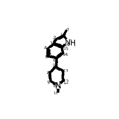 Cc1cc2ccc(C3CCN(C)CC3)cc2[nH]1